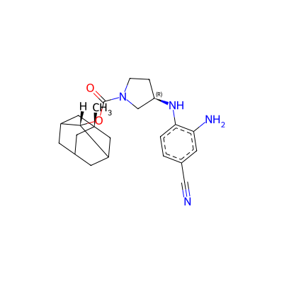 C[C@]12CC3CC(C1)[C@@H](OC(=O)N1CC[C@@H](Nc4ccc(C#N)cc4N)C1)C(C3)C2